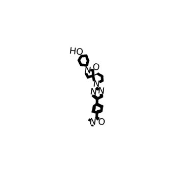 CN(C)C(=O)c1ccc(-c2cnc(N3CCC[C@]4(CCN(C5CCC(O)CC5)C4=O)C3)nc2)cc1